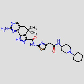 CC1(C)Cc2cnc(N)nc2-c2[nH]nc(C(=O)Nc3nc(CC(=O)NC4CCN(C5CCCCC5)CC4)cs3)c21